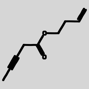 C=CCCOC(=O)CC#CC